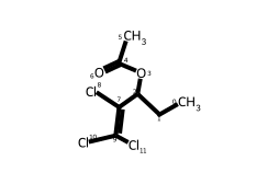 CCC(OC(C)=O)C(Cl)=C(Cl)Cl